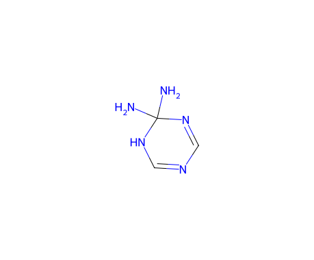 NC1(N)N=CN=CN1